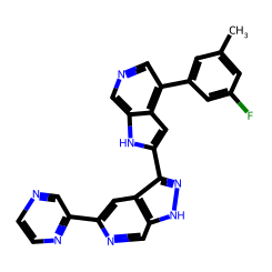 Cc1cc(F)cc(-c2cncc3[nH]c(-c4n[nH]c5cnc(-c6cnccn6)cc45)cc23)c1